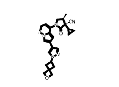 C[C@@H]1CN(c2ccnn3cc(-c4cnn(C5CC6(COC6)C5)c4)cc23)C(=O)[C@]1(C#N)C1CC1